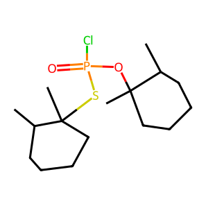 CC1CCCCC1(C)OP(=O)(Cl)SC1(C)CCCCC1C